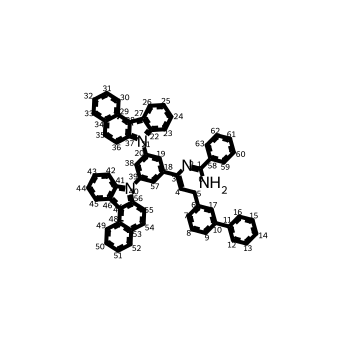 N/C(=N\C(=C/Cc1cccc(-c2ccccc2)c1)c1cc(-n2c3ccccc3c3c4ccccc4ccc32)cc(-n2c3ccccc3c3c4ccccc4ccc32)c1)c1ccccc1